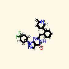 Cc1ccc(-c2ccccc2Cc2nc3c(cnn3C3CCC(F)(F)CC3)c(=O)[nH]2)cn1